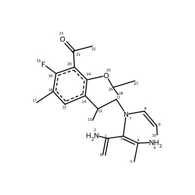 C=C(N)/C(=C(\C)N)N(/C=C\C)CC(C)c1cc(C)c(F)c(C(C)=O)c1OC(C)C